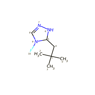 CC(C)(C)CC1NN=CN1F